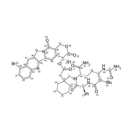 CC[C@@]1(OC(=O)CC2(CN(C(=O)[C@@H](NC(=O)OC(C)(C)C)C(C)C)[C@@H](CCCNC(N)=O)C(N)=O)CCCCC2)C(=O)OCc2c1cc1n(c2=O)Cc2cc3c(Br)cccc3nc2-1